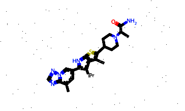 Cc1c(C2CCN(C(C)C(N)=O)CC2)sc2[nH]c(-c3cc(C)c4ncnn4c3)c(C(C)C)c12